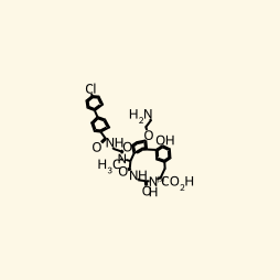 CN(C(=O)CNC(=O)c1ccc(-c2ccc(Cl)cc2)cc1)C1C(=O)NCC(=O)N[C@H](C(=O)O)Cc2ccc(O)c(c2)-c2cc1ccc2OCCN